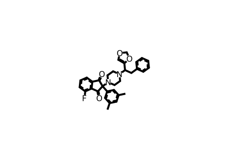 Cc1cc(C)cc(C2(N3CCN(C(Cc4ccccc4)C4=COCO4)CC3)C(=O)c3cccc(F)c3C2=O)c1